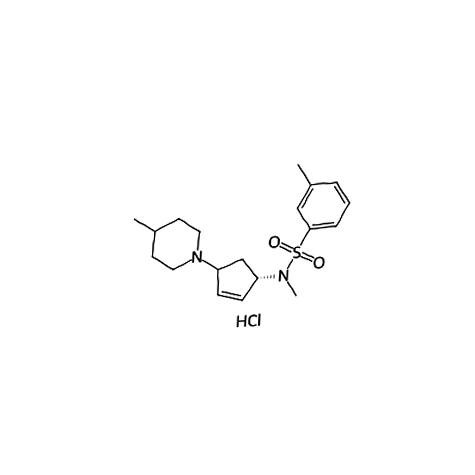 Cc1cccc(S(=O)(=O)N(C)[C@@H]2C=CC(N3CCC(C)CC3)C2)c1.Cl